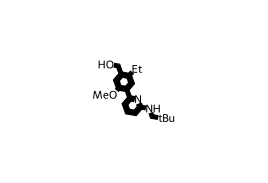 CCc1cc(-c2cccc(NCC(C)(C)C)n2)c(OC)cc1CO